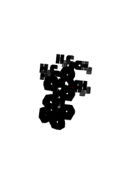 CC(C)c1cc(C(C)C)c(B2c3ccccc3Sc3c2cccc3N2c3ccccc3[Si](c3ccccc3)(c3ccccc3)c3ccccc32)c(C(C)C)c1